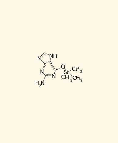 C[Si](C)(C)Oc1nc(N)nc2nc[nH]c12